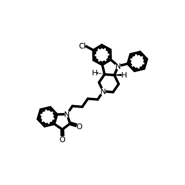 O=C1C(=O)N(CCCCN2CC[C@@H]3[C@@H](C2)c2cc(Cl)ccc2N3c2ccccc2)c2ccccc21